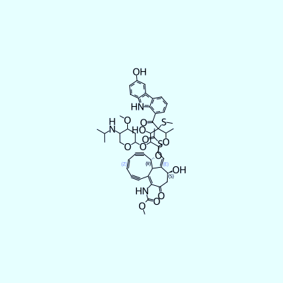 COC(=O)NC1=C2C#C/C=C\C#C[C@H](OC3OC(C)C(SC)(C(=O)c4cccc5c4[nH]c4ccc(O)cc45)C(O)C3OC3CC(OC)C(NC(C)C)CO3)C2/C(=C\CSC(C)=O)[C@@H](O)CC1=O